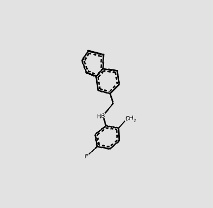 Cc1ccc(F)cc1BCc1ccc2ccccc2c1